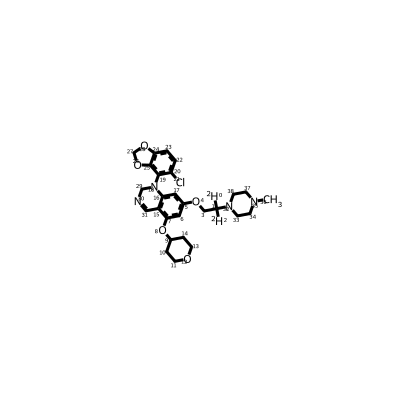 [2H]C([2H])(COc1cc(OC2CCOCC2)c2c(c1)N(c1c(Cl)ccc3c1OCO3)CN=C2)N1CCN(C)CC1